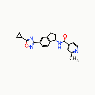 Cc1cc(C(=O)N[C@@H]2CCc3cc(-c4noc(C5CC5)n4)ccc32)ccn1